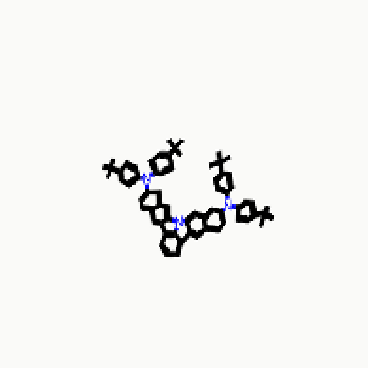 CC(C)(C)c1ccc(N(c2ccc(C(C)(C)C)cc2)c2ccc3cc4c5cccc6c7cc8ccc(N(c9ccc(C(C)(C)C)cc9)c9ccc(C(C)(C)C)cc9)cc8cc7n(c4cc3c2)c56)cc1